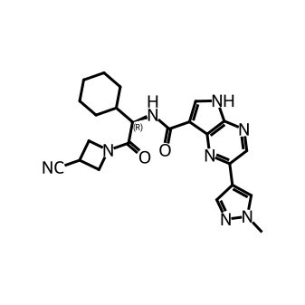 Cn1cc(-c2cnc3[nH]cc(C(=O)N[C@@H](C(=O)N4CC(C#N)C4)C4CCCCC4)c3n2)cn1